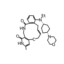 CCN(c1cccc2c1C/C=C/CCc1cc(C)[nH]c(=O)c1CNC2=O)[C@H]1CC[C@@H](N2CCOCC2)CC1